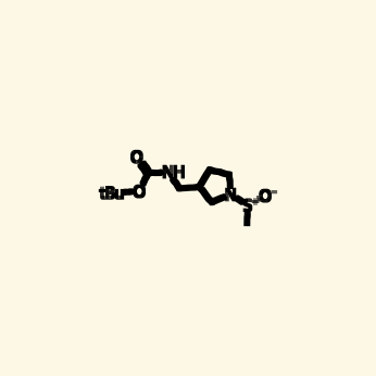 C[S+]([O-])N1CCC(CNC(=O)OC(C)(C)C)C1